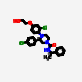 C[C@@H](NC(=O)N1CCN(c2ccc(OCCO)cc2Cl)[C@H](c2ccc(Cl)cc2)C1)c1ccccc1